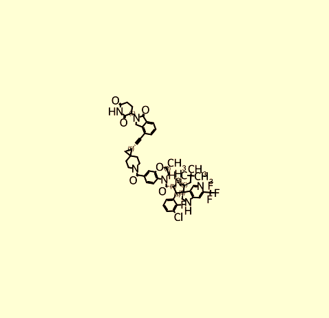 C[C@@H]1CN(C(=O)[C@@H]2N[C@@H](CC(C)(C)C)[C@@]3(CNc4cc(C(F)(F)F)ncc43)[C@H]2c2cccc(Cl)c2F)c2ccc(C(=O)N3CCC4(CC3)C[C@@H]4C#Cc3cccc4c3CN([C@H]3CCC(=O)NC3=O)C4=O)cc2O1